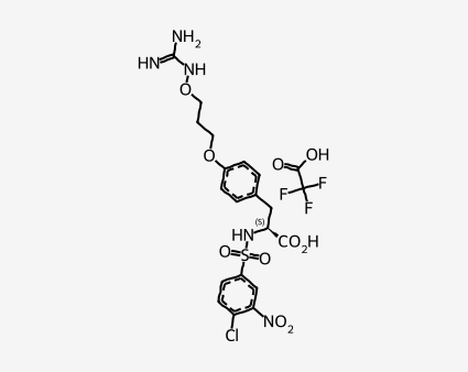 N=C(N)NOCCCOc1ccc(C[C@H](NS(=O)(=O)c2ccc(Cl)c([N+](=O)[O-])c2)C(=O)O)cc1.O=C(O)C(F)(F)F